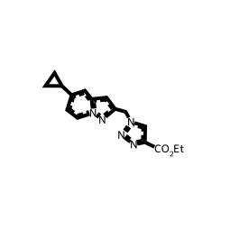 CCOC(=O)c1cn(Cc2cc3cc(C4CC4)ccn3n2)nn1